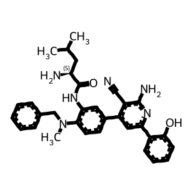 CC(C)C[C@H](N)C(=O)Nc1cc(-c2cc(-c3ccccc3O)nc(N)c2C#N)ccc1N(C)Cc1ccccc1